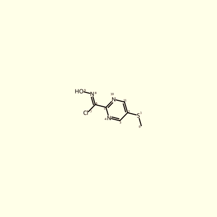 CSc1cnc(C(Cl)=NO)nc1